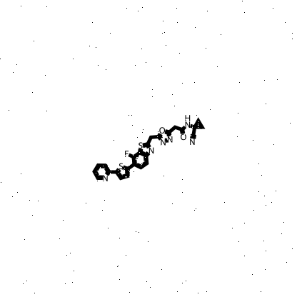 N#CC1(NC(=O)Cc2nnc(Cc3nc4ccc(-c5ccc(-c6ccccn6)s5)c(F)c4s3)o2)CC1